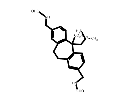 C[C@@H](N)CC1(C(=O)O)c2ccc(CNC=O)cc2CCc2cc(CNC=O)ccc21